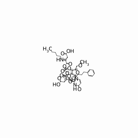 CCCCCN[C@@H](CC(=O)O)C(=O)OP(=O)(OC(=O)[C@H](CC(=O)O)NCCCCCc1ccccc1)O[C@H]1[C@@H](O)[C@H](n2ccc(=O)[nH]c2=O)O[C@@H]1COC